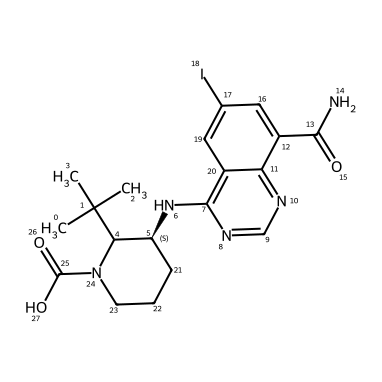 CC(C)(C)C1[C@@H](Nc2ncnc3c(C(N)=O)cc(I)cc23)CCCN1C(=O)O